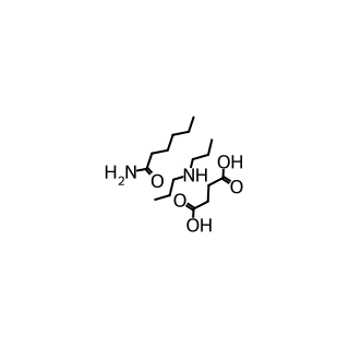 CCCCCC(N)=O.CCCNCCC.O=C(O)CCC(=O)O